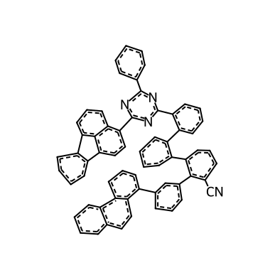 N#Cc1cccc(-c2ccccc2-c2ccccc2-c2nc(-c3ccccc3)nc(-c3ccc4c5c(cccc35)-c3ccccc3-4)n2)c1-c1cccc(-c2cccc3c2ccc2ccccc23)c1